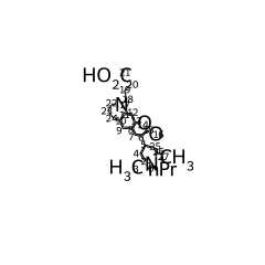 CCC[n+]1c(C)cc(-c2cc3cc4c(cc3oc2=O)N(CCCC(=O)O)CCC4)cc1C